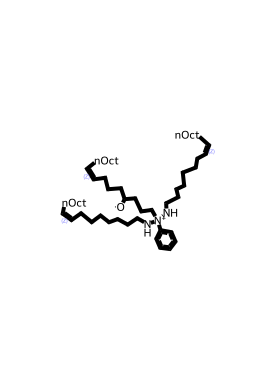 CCCCCCCC/C=C\CCCCCCCN[N+](CCCC([O])CCC/C=C\CCCCCCCC)(NCCCCCCC/C=C\CCCCCCCC)c1ccccc1